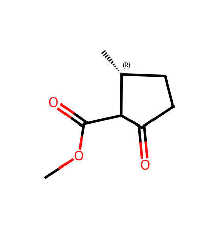 COC(=O)C1C(=O)CC[C@H]1C